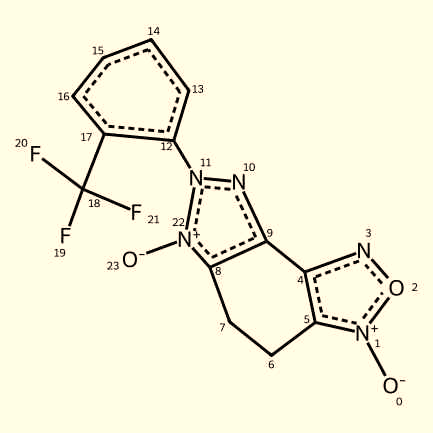 [O-][n+]1onc2c1CCc1c-2nn(-c2ccccc2C(F)(F)F)[n+]1[O-]